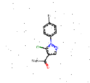 CCc1ccc(-n2ncc(C(=O)NC)c2Cl)cc1